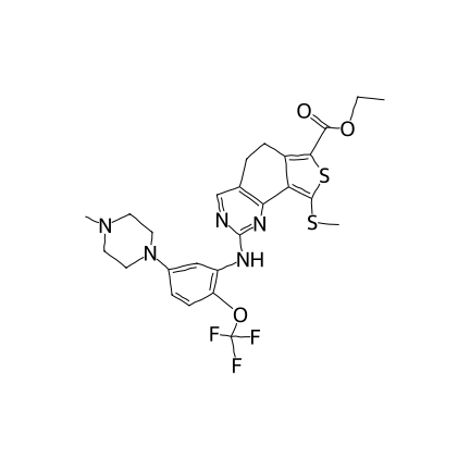 CCOC(=O)c1sc(SC)c2c1CCc1cnc(Nc3cc(N4CCN(C)CC4)ccc3OC(F)(F)F)nc1-2